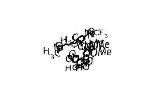 COc1cc([C@@H]2c3cc4c(cc3[C@H](O)[C@H]3COC(=O)[C@H]23)OCO4)cc(OC)c1OC.Cc1cc(CCCOc2c(C)cc(-c3noc(C(F)(F)F)n3)cc2C)on1